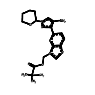 CC(C)(C)C(=O)OCn1cnc2ccc(-c3nn(C4CCCCO4)cc3N)nc21